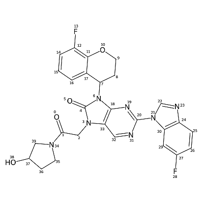 O=C(Cn1c(=O)n(C2CCOc3c(F)cccc32)c2nc(-n3cnc4ccc(F)cc43)ncc21)N1CCC(O)C1